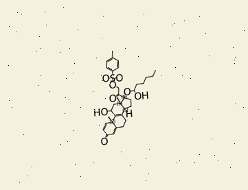 CCCCCC(O)O[C@]1(C(=O)COS(=O)(=O)c2ccc(C)cc2)CC[C@H]2C3=C(C(O)C[C@@]21C)[C@@]1(C)C=CC(=O)C=C1CC3